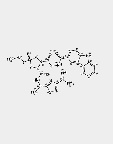 COC[C@@]1(F)C[C@@H](C(=O)NC(C)c2cc(C(=N)N)cs2)N(C(=O)CNC(=O)c2ccc3[nH]c4ccccc4c3c2)C1